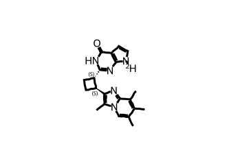 [2H]n1ccc2c(=O)[nH]c([C@H]3CC[C@@H]3c3nc4c(C)c(C)c(C)cn4c3C)nc21